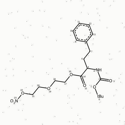 CC(C)(C)OC(=O)NC(CCc1ccccc1)C(=O)OCCOCCO[N+](=O)[O-]